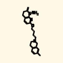 C=C1CCc2ccc(OCCCCN3CCc4ccc(C)cc4C3)nc2N1N